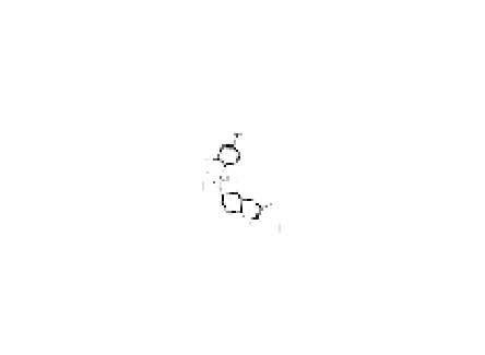 Cc1cc2cc(NS(=O)(=O)c3ccc(C(=O)O)cc3F)ccc2nc1O